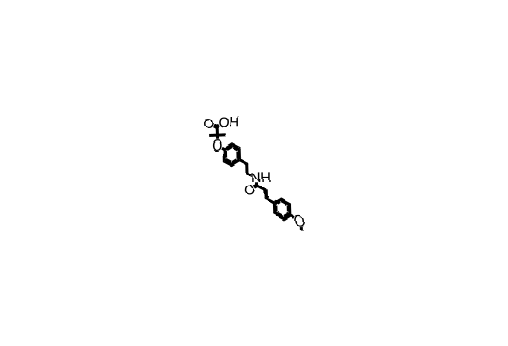 COc1ccc(C=CC(=O)NCCc2ccc(OC(C)(C)C(=O)O)cc2)cc1